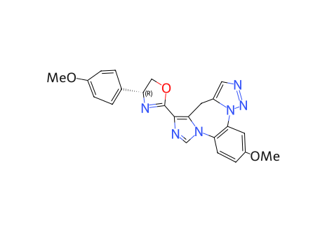 COc1ccc([C@@H]2COC(c3ncn4c3Cc3cnnn3-c3cc(OC)ccc3-4)=N2)cc1